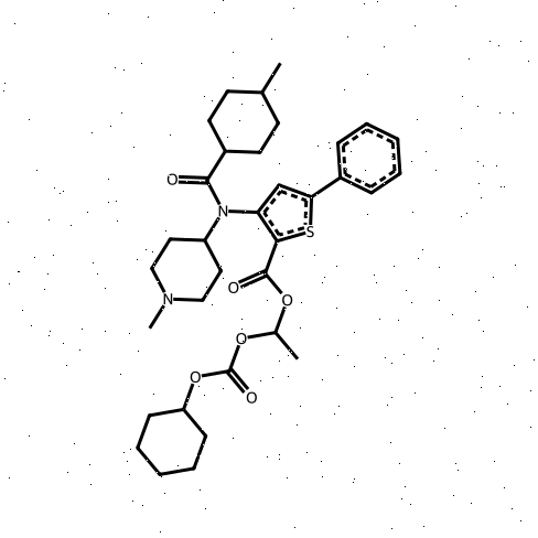 CC1CCC(C(=O)N(c2cc(-c3ccccc3)sc2C(=O)OC(C)OC(=O)OC2CCCCC2)C2CCN(C)CC2)CC1